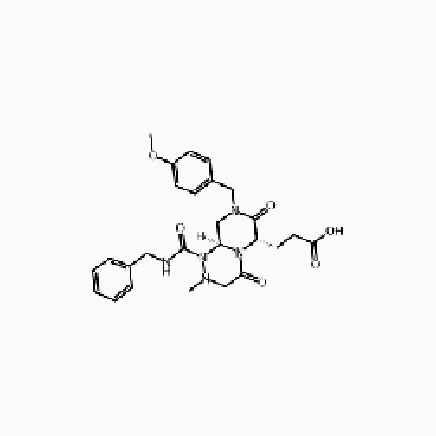 COc1ccc(CN2C[C@H]3N(C(=O)CN(C)N3C(=O)NCc3ccccc3)[C@@H](CCC(=O)O)C2=O)cc1